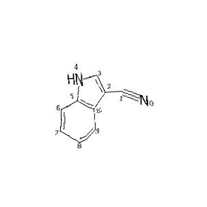 N#Cc1c[nH]c2ccc[c]c12